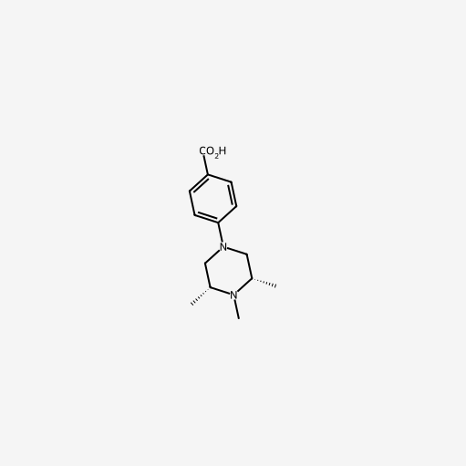 C[C@@H]1CN(c2ccc(C(=O)O)cc2)C[C@H](C)N1C